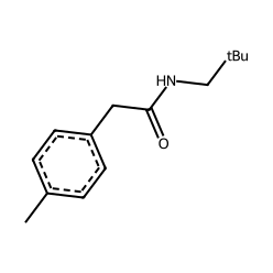 Cc1ccc(CC(=O)NCC(C)(C)C)cc1